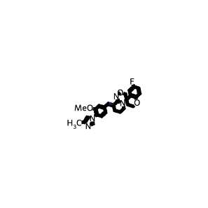 COc1cc(/C=C2\CCCN3C2=NOCC32CCOc3ccc(F)cc32)ccc1-n1cnc(C)c1